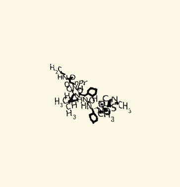 C=CCNC(=O)C(=O)C(CCC)NC(=O)[C@@H]1[C@@H]2[C@H](CN1C(=O)[C@@H](NC(=O)N[C@H](CN(C)S(=O)(=O)c1sc(C)nc1C)C1CCCCC1)C1CCCCC1)C2(C)C